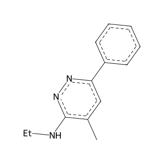 CCNc1nnc(-c2ccccc2)cc1C